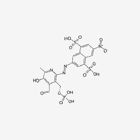 Cc1nc(/N=N/c2cc(S(=O)(=O)O)c3cc([N+](=O)[O-])cc(S(=O)(=O)O)c3c2)c(COP(=O)(O)O)c(C=O)c1O